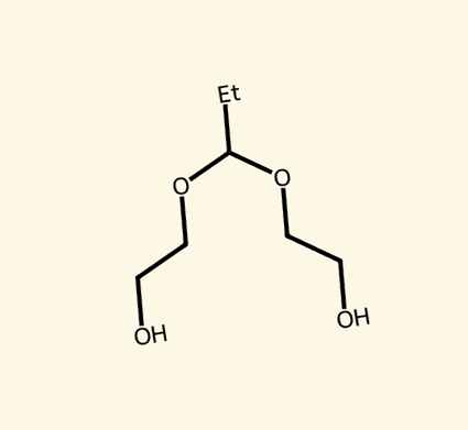 CCC(OCCO)OCCO